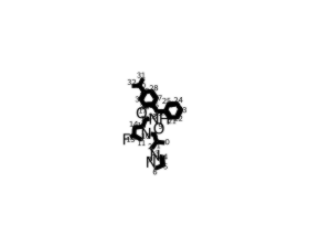 CC(Cn1cccn1)C(=O)N1CC(F)CC1C(=O)NC(c1ccccc1)c1ccc(C(C)C)cc1